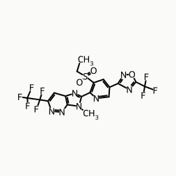 CCS(=O)(=O)c1cc(-c2noc(C(F)(F)F)n2)cnc1-c1nc2cc(C(F)(F)C(F)(F)F)nnc2n1C